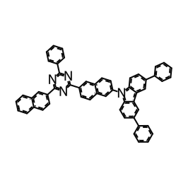 c1ccc(-c2ccc3c(c2)c2cc(-c4ccccc4)ccc2n3-c2ccc3cc(-c4nc(-c5ccccc5)nc(-c5ccc6ccccc6c5)n4)ccc3c2)cc1